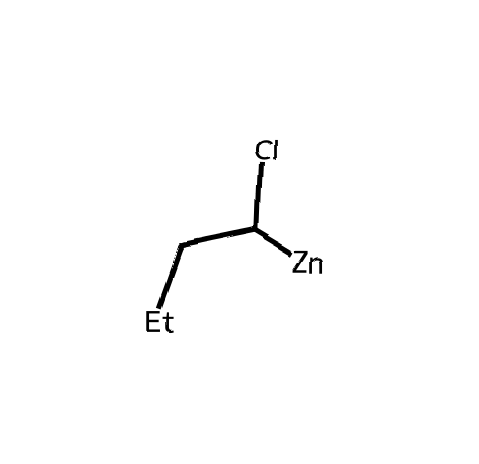 CCC[CH](Cl)[Zn]